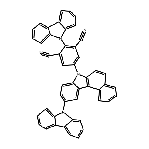 N#Cc1cc(-n2c3ccc(-n4c5ccccc5c5ccccc54)cc3c3c4ccccc4ccc32)cc(C#N)c1-n1c2ccccc2c2ccccc21